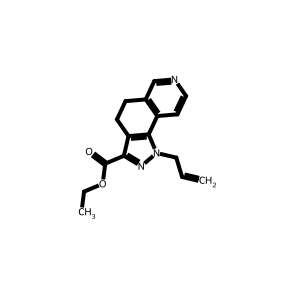 C=CCn1nc(C(=O)OCC)c2c1-c1ccncc1CC2